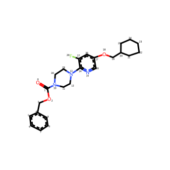 O=C(OCc1ccccc1)N1CCN(c2ncc(OCC3CCCCC3)cc2F)CC1